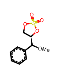 COC(c1ccccc1)[C@H]1COS(=O)(=O)O1